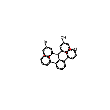 Oc1cc(Cl)cc(N(c2cccc(Br)c2)c2c(-c3ccccc3)cccc2-c2ccccc2)c1